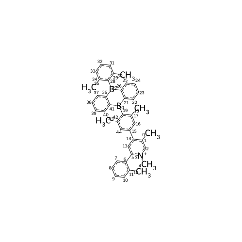 Cc1c[n+](C)c(-c2ccccc2C)cc1-c1cc(C)c(B2c3ccccc3B(c3c(C)cccc3C)c3ccccc32)c(C)c1